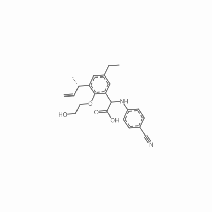 C=C[C@H](C)c1cc(CC)cc(C(Nc2ccc(C#N)cc2)C(=O)O)c1OCCO